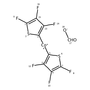 Fc1s[c]([Co+][c]2sc(F)c(F)c2F)c(F)c1F.O=C[O-]